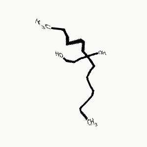 CCCCCC(O)(CO)CCCC